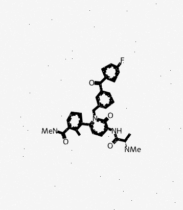 CNC(=O)c1cccc(-c2ccc(NC(=O)[C@H](C)NC)c(=O)n2Cc2cccc(C(=O)c3ccc(F)cc3)c2)c1C